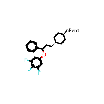 CCCCC[C@H]1CC[C@H](CCC(Oc2cc(F)c(F)c(F)c2)c2ccccc2)CC1